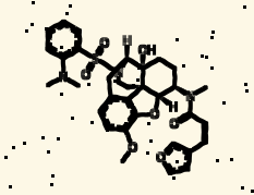 COc1ccc2c3c1O[C@H]1[C@H](N(C)C(=O)/C=C\c4ccoc4)CC[C@@]4(O)[C@@H](C2)N(S(=O)(=O)c2ccccc2N(C)C)CC[C@]314